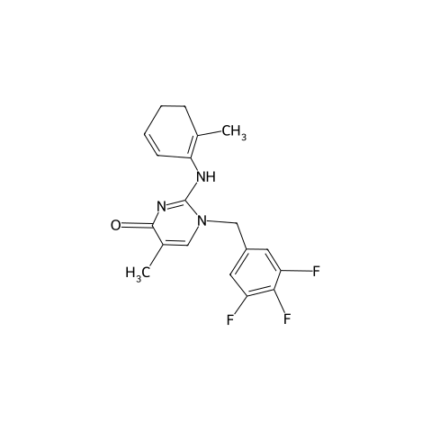 CC1=C(Nc2nc(=O)c(C)cn2Cc2cc(F)c(F)c(F)c2)C=CCC1